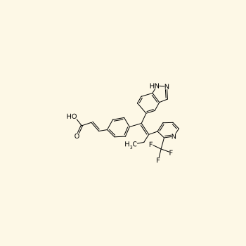 CCC(=C(c1ccc(C=CC(=O)O)cc1)c1ccc2[nH]ncc2c1)c1cccnc1C(F)(F)F